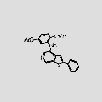 COc1ccc(OC)c(Nc2cncc3sc(-c4ccccc4)cc23)c1